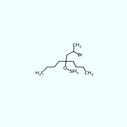 CCCCC(CCCC)(CC(C)Br)O[SiH3]